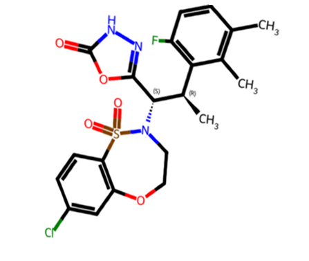 Cc1ccc(F)c([C@@H](C)[C@@H](c2n[nH]c(=O)o2)N2CCOc3cc(Cl)ccc3S2(=O)=O)c1C